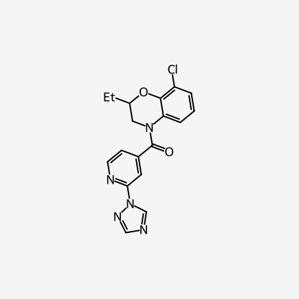 CCC1CN(C(=O)c2ccnc(-n3cncn3)c2)c2cccc(Cl)c2O1